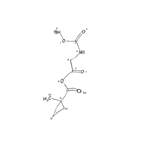 CC(C)(C)OC(=O)NCC(=O)OC(=O)C1(C)CC1